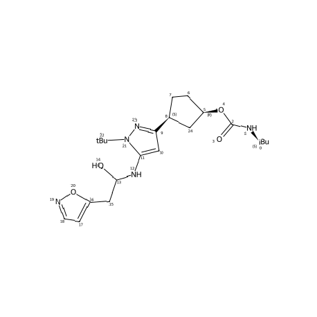 CC[C@H](C)NC(=O)O[C@@H]1CC[C@H](c2cc(NC(O)Cc3ccno3)n(C(C)(C)C)n2)C1